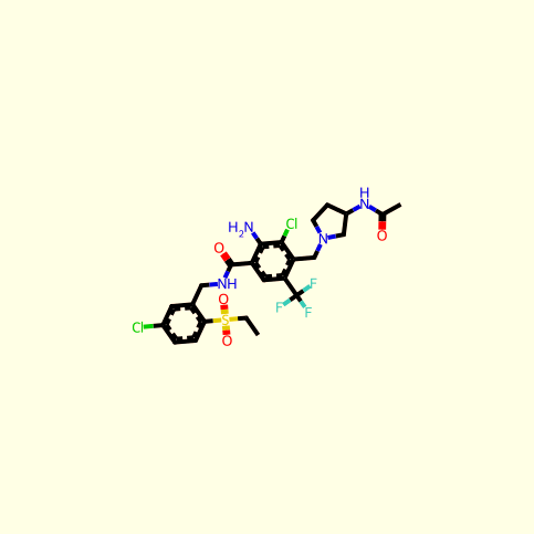 CCS(=O)(=O)c1ccc(Cl)cc1CNC(=O)c1cc(C(F)(F)F)c(CN2CCC(NC(C)=O)C2)c(Cl)c1N